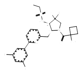 CCS(=O)(=O)N[C@@H]1[C@H](Cc2cccc(-c3cc(F)cc(F)c3)n2)N(C(=O)C2(O)CCC2)CC1(F)F